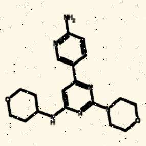 Nc1ccc(-c2cc(NC3CCOCC3)nc(N3CCOCC3)n2)cn1